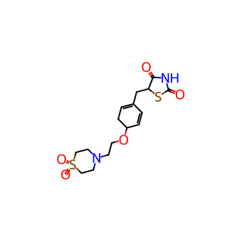 O=C1NC(=O)C(CC2=CCC(OCCN3CCS(=O)(=O)CC3)C=C2)S1